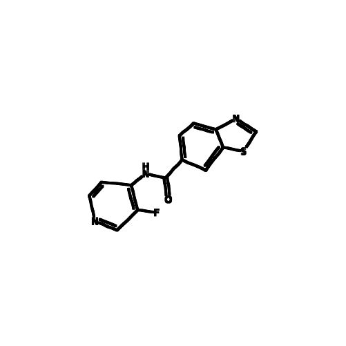 O=C(Nc1ccncc1F)c1ccc2ncsc2c1